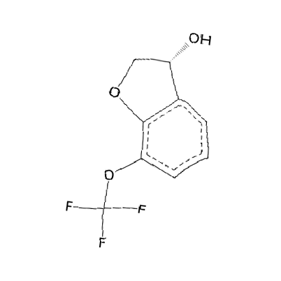 O[C@H]1COc2c(OC(F)(F)F)cccc21